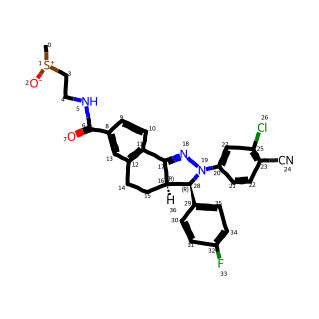 C[S+]([O-])CCNC(=O)c1ccc2c(c1)CC[C@H]1C2=NN(c2ccc(C#N)c(Cl)c2)[C@H]1c1ccc(F)cc1